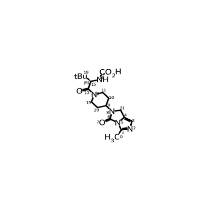 Cc1ncc2n1C(=O)N(C1CCN(C(=O)[C@H](NC(=O)O)C(C)(C)C)CC1)C2